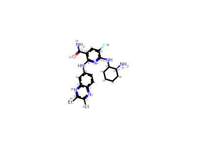 CCc1nc2ccc(Nc3nc(NC4CCCC[C@@H]4N)c(F)cc3C(N)=O)cc2nc1CC